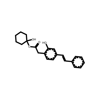 O=C(Cc1ccc(C=Cc2ccccc2)cc1O)OC1(O)CCCCC1